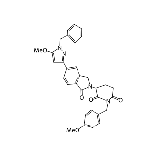 COc1ccc(CN2C(=O)CCC(N3Cc4cc(-c5cc(OC)n(Cc6ccccc6)n5)ccc4C3=O)C2=O)cc1